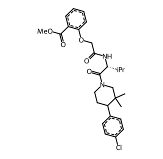 COC(=O)c1ccccc1OCC(=O)N[C@@H](C(=O)N1CCC(c2ccc(Cl)cc2)C(C)(C)C1)C(C)C